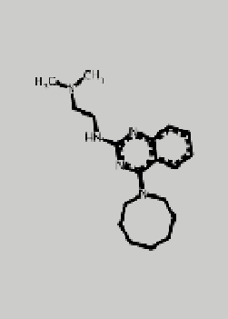 CN(C)CCNc1nc(N2CCCCCCC2)c2ccccc2n1